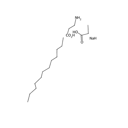 CCC(=O)O.CCCCCCCCCCCC.NCCC(=O)O.[NaH]